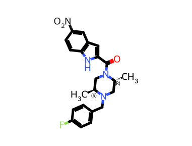 C[C@@H]1CN(Cc2ccc(F)cc2)[C@@H](C)CN1C(=O)c1cc2cc([N+](=O)[O-])ccc2[nH]1